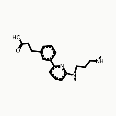 CNCCCN(C)c1cccc(-c2cccc(CCC(=O)O)c2)n1